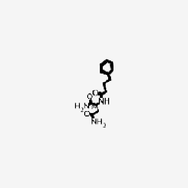 NC(=O)C[C@H](NC(=O)CCCc1ccccc1)C(N)=O